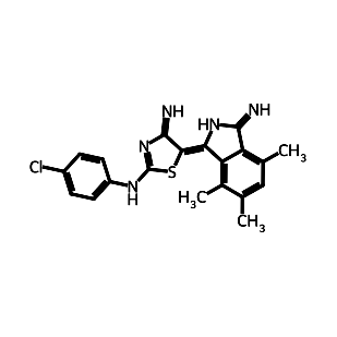 Cc1cc(C)c2c(c1C)C(=C1SC(Nc3ccc(Cl)cc3)=NC1=N)NC2=N